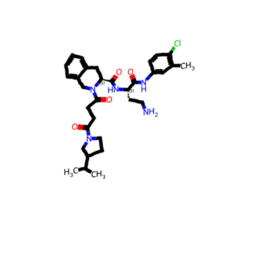 Cc1cc(NC(=O)[C@H](CCN)NC(=O)[C@@H]2Cc3ccccc3CN2C(=O)CCC(=O)N2CCC(C(C)C)C2)ccc1Cl